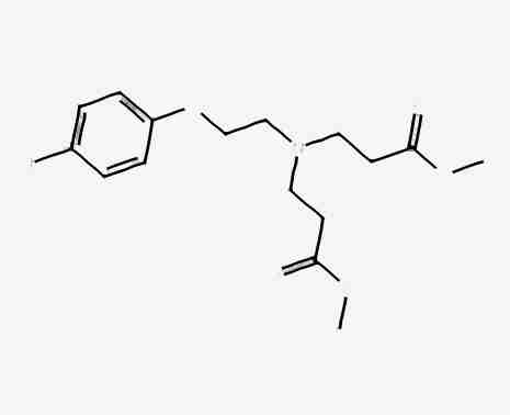 COC(=O)CCN(CCOc1ccc(Cl)cc1)CCC(=O)OC